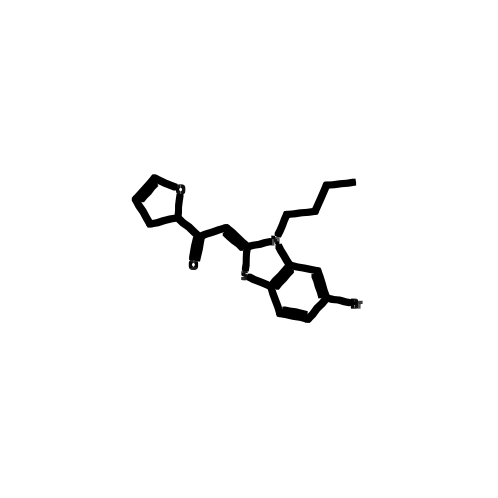 CCCCN1/C(=C/C(=O)C2CC=CO2)Sc2ccc(Br)cc21